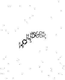 CC(C)(C)OC(=O)CNC(=S)Nc1ccc(C(F)(F)F)cc1